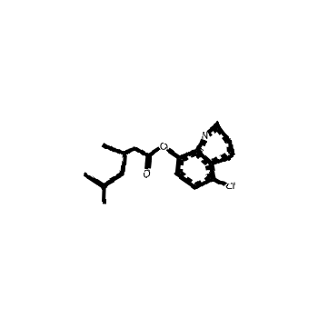 CC(C)CC(C)CC(=O)Oc1ccc(Cl)c2cccnc12